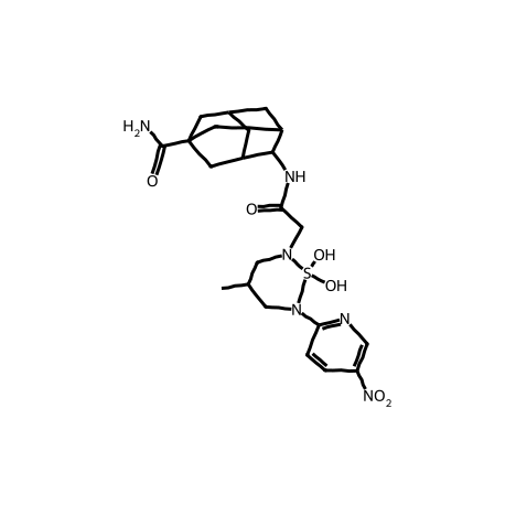 CC1CN(CC(=O)NC2C3CC4CC2CC(C(N)=O)(C4)C3)S(O)(O)N(c2ccc([N+](=O)[O-])cn2)C1